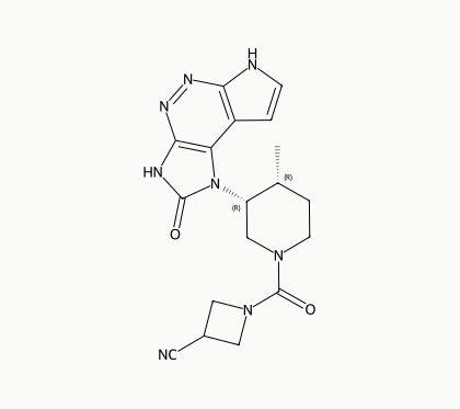 C[C@@H]1CCN(C(=O)N2CC(C#N)C2)C[C@@H]1n1c(=O)[nH]c2nnc3[nH]ccc3c21